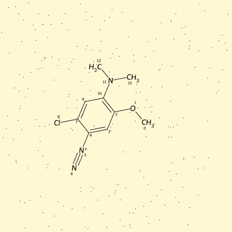 COc1cc([N+]#N)c(Cl)cc1N(C)C